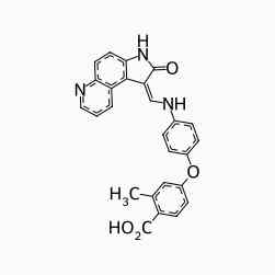 Cc1cc(Oc2ccc(NC=C3C(=O)Nc4ccc5ncccc5c43)cc2)ccc1C(=O)O